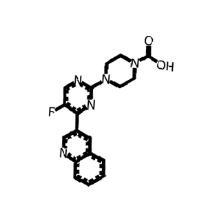 O=C(O)N1CCN(c2ncc(F)c(-c3cnc4ccccc4c3)n2)CC1